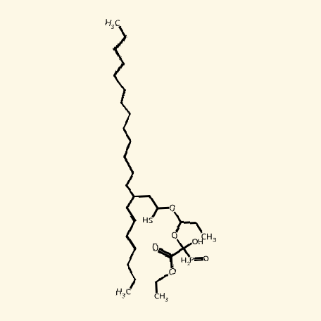 CCCCCCCCCCCCCC(CCCCCCC)CC(S)OC(CC)OC(O)([PH2]=O)C(=O)OCC